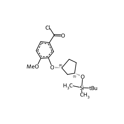 COc1ccc(C(=O)Cl)cc1O[C@@H]1CC[C@H](O[Si](C)(C)C(C)(C)C)C1